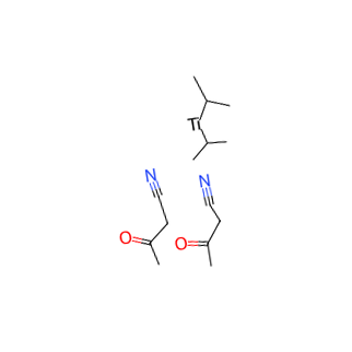 CC(=O)CC#N.CC(=O)CC#N.C[CH](C)[Ti][CH](C)C